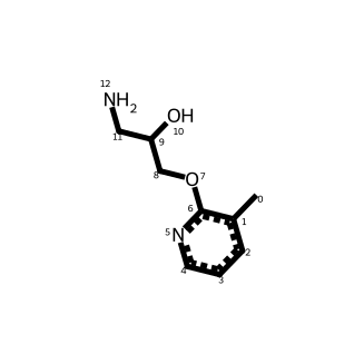 Cc1cccnc1OCC(O)CN